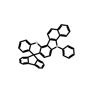 c1ccc(-n2c3ccc4c(c3c3ccc5ccccc5c32)Oc2ccccc2C42c3ccccc3-c3ccccc32)cc1